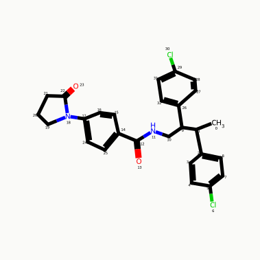 CC(c1ccc(Cl)cc1)C(CNC(=O)c1ccc(N2CCCC2=O)cc1)c1ccc(Cl)cc1